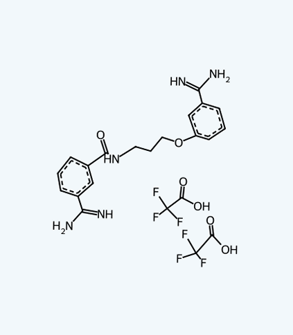 N=C(N)c1cccc(OCCCNC(=O)c2cccc(C(=N)N)c2)c1.O=C(O)C(F)(F)F.O=C(O)C(F)(F)F